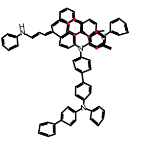 C=C(/C=C\C(=C/C)C1C=CC(\C=C/C(=C\C=C\Nc2ccccc2)c2ccc(N(c3ccccc3)c3ccc(-c4ccc(N(c5ccccc5)c5ccc(-c6ccccc6)cc5)cc4)cc3)cc2)=CC1)N(c1ccccc1)c1ccc(-c2ccccc2)cc1